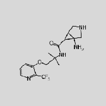 CC(C)(COc1cccnc1C(F)(F)F)NC(=O)C1C2CNCC21N